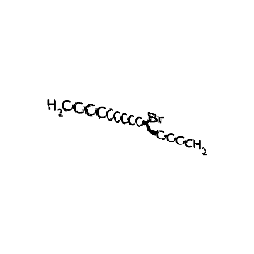 C=C=C=C=C=C=C=C=C=C(Br)C=C=C=C=C